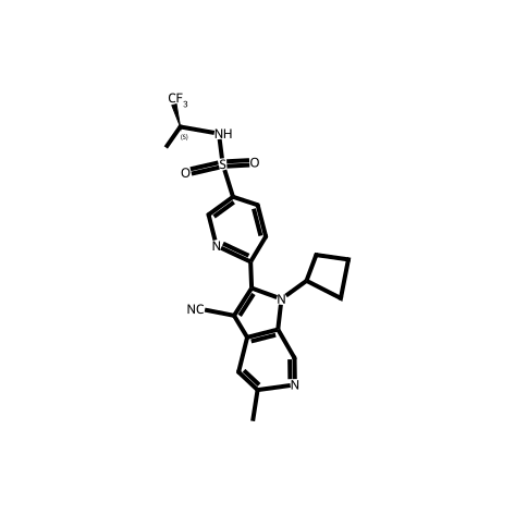 Cc1cc2c(C#N)c(-c3ccc(S(=O)(=O)N[C@@H](C)C(F)(F)F)cn3)n(C3CCC3)c2cn1